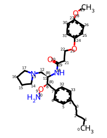 CCCCc1ccc([C@@H](ON)[C@@H](CN2CCCC2)NC(=O)CCOc2ccc(OC)cc2)cc1